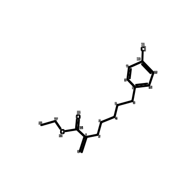 C=C(CCCCCc1ccc(Cl)cc1)C(=O)OCC